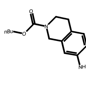 CCCCOC(=O)N1CCc2ccc(N)cc2C1